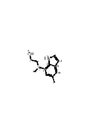 Cc1cc(N(C)CCO)c2[nH]ccc2c1